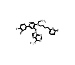 NCN(CCCCc1cccc(F)n1)c1cnc(-c2ccc(F)c(F)c2)cc1Cn1cnc2c(N)ncnc21